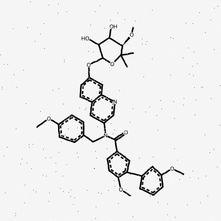 COc1ccc(CN(C(=O)c2ccc(OC)c(-c3cccc(OC)c3)c2)c2cnc3cc(OC4OC(C)(C)[C@H](OC)C(O)C4O)ccc3c2)cc1